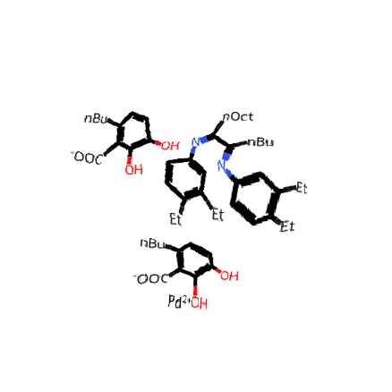 CCCCCCCCC(=Nc1ccc(CC)c(CC)c1)C(CCCC)=Nc1ccc(CC)c(CC)c1.CCCCc1ccc(O)c(O)c1C(=O)[O-].CCCCc1ccc(O)c(O)c1C(=O)[O-].[Pd+2]